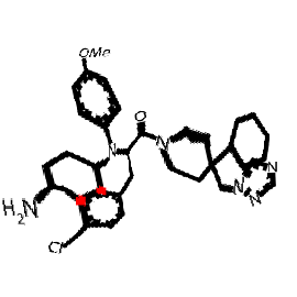 COc1ccc(N(C2CCC(N)CC2)[C@H](Cc2ccc(Cl)cc2)C(=O)N2CCC(Cn3cncn3)(C3CCCCC3)CC2)cc1